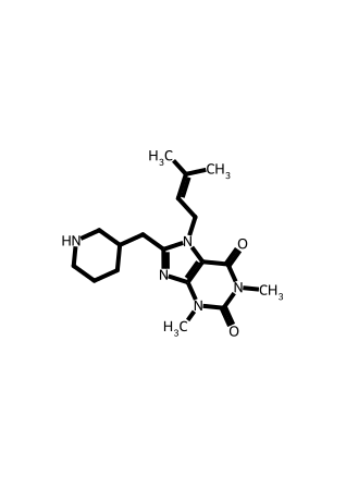 CC(C)=CCn1c(CC2CCCNC2)nc2c1c(=O)n(C)c(=O)n2C